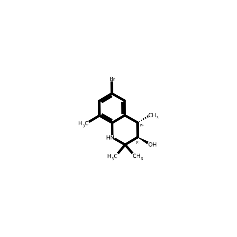 Cc1cc(Br)cc2c1NC(C)(C)[C@H](O)[C@H]2C